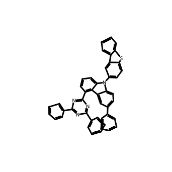 c1ccc(-c2ccc3c(c2)c2c(-c4nc(-c5ccccc5)nc(-c5ccccc5)n4)cccc2n3-c2ccc3sc4ccccc4c3c2)cc1